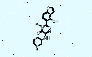 CC(C)n1c(-c2ccc3sccc3c2O)nnc(N[C@@H]2CCCN(C)C2)c1=O